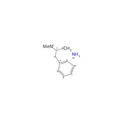 CNC(C)Cc1ccccc1.N